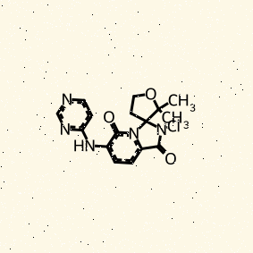 CC1(C)OCCC12N(Cl)C(=O)c1ccc(Nc3ccncn3)c(=O)n12